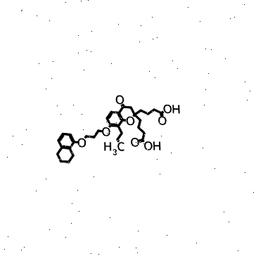 CCCc1c(OCCCOc2cccc3c2CCCC3)ccc2c1OC(CCCC(=O)O)(CCCC(=O)O)CC2=O